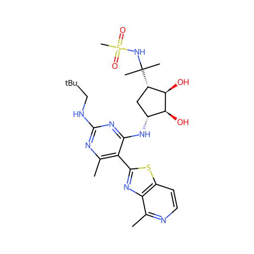 Cc1nc(NCC(C)(C)C)nc(N[C@@H]2C[C@H](C(C)(C)NS(C)(=O)=O)[C@@H](O)[C@H]2O)c1-c1nc2c(C)nccc2s1